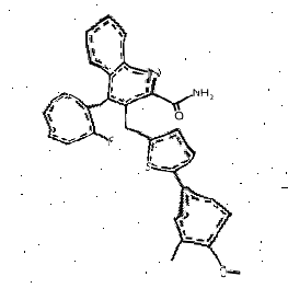 COc1ccc(-c2ccc(Cc3c(C(N)=O)nc4ccccc4c3-c3ccccc3F)s2)cc1C